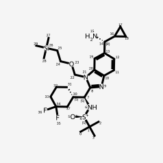 CC(C)(C)[S@@+]([O-])N[C@H](c1nc2ccc([C@H](N)C3CC3)cc2n1COCC[Si](C)(C)C)[C@H]1CCCC(F)(F)C1